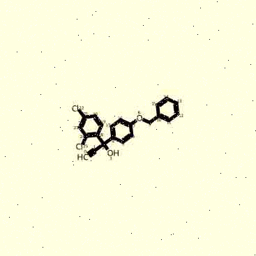 C#CC(O)(c1ccc(OCc2ccccc2)cc1)c1ccc(Cl)cc1Cl